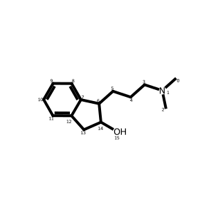 CN(C)CCCC1c2ccccc2CC1O